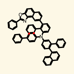 c1ccc(-c2ccc(N(c3ccc(-c4cccc5ccccc45)c(-c4ccccc4)c3)c3cccc(-c4ccc5ccc6oc(-c7ccccc7)nc6c5c4)c3-c3ccccc3)cc2)cc1